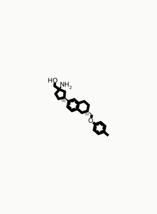 Cc1ccc(OC[C@H]2CCc3cc([C@H]4CC[C@](N)(CO)C4)ccc3C2)cc1